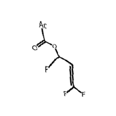 CC(=O)C(=O)OC(F)C=C(F)F